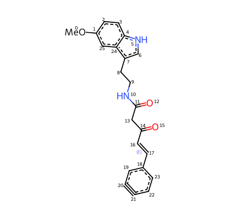 COc1ccc2[nH]cc(CCNC(=O)CC(=O)/C=C/c3cc#ccc3)c2c1